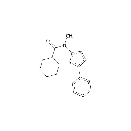 CN(C(=O)C1CCCCC1)c1ccc(-c2ccccc2)s1